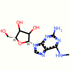 CNc1nc(N)nc2c1ncn2[C@@H]1O[C@H](CO)C(O)C1O